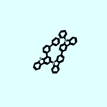 c1ccc(-c2cccc(-c3cc(-n4c5ccccc5c5ccc(-c6ccc7c(c6)c6ccccc6n7-c6ccccc6)cc54)cc4c3sc3ccccc34)c2)cc1